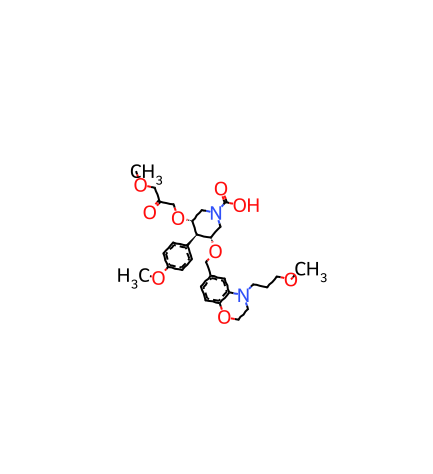 COCCCN1CCOc2ccc(CO[C@H]3CN(C(=O)O)C[C@@H](OCC(=O)COC)[C@@H]3c3ccc(OC)cc3)cc21